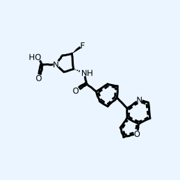 O=C(N[C@@H]1CN(C(=O)O)C[C@H]1F)c1ccc(-c2nccc3occc23)cc1